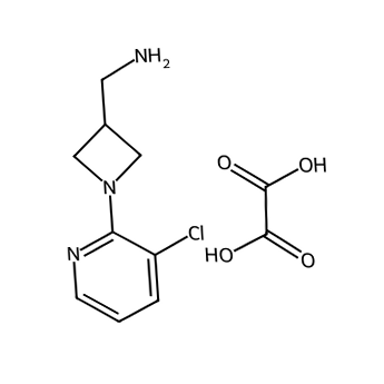 NCC1CN(c2ncccc2Cl)C1.O=C(O)C(=O)O